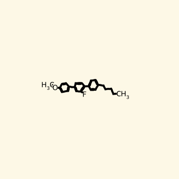 CCCCCc1ccc(-c2ccc(-c3ccc(OC)cc3)cc2F)cc1